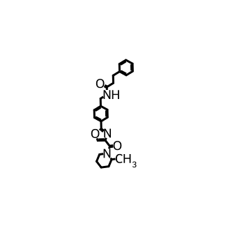 CC1CCCCN1C(=O)c1coc(-c2ccc(CNC(=O)CCc3ccccc3)cc2)n1